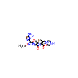 CCON=C(C(=O)N[C@@H]1C(=O)N2C(C(=O)[O-])=C(C[N+]3(C)CCNCC3)CS[C@@H]12)c1nsc(N)n1